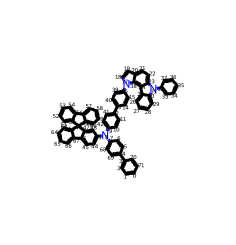 c1ccc(-c2ccc(N(c3ccc(-c4ccc(-n5ccc6ccc7c(c8ccccc8n7-c7ccccc7)c65)cc4)cc3)c3ccc4c(c3)C3(c5ccccc5-c5ccccc53)c3ccccc3-4)cc2)cc1